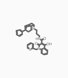 O=C(NCCCN1C2CC3CC1CC(c1ccccc1)(C3)C2)c1c(O)c2ccccc2n(Cc2ccccn2)c1=O